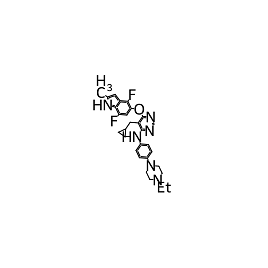 CCN1CCN(c2ccc(Nc3ncnc(Oc4cc(F)c5[nH]c(C)cc5c4F)c3CC3CC3)cc2)CC1